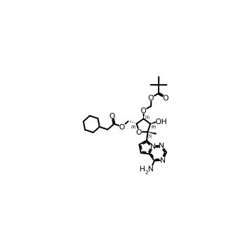 CC(C)(C)C(=O)OCO[C@H]1[C@@H](O)[C@](C)(c2ccc3c(N)ncnn23)O[C@@H]1COC(=O)CC1CCCCC1